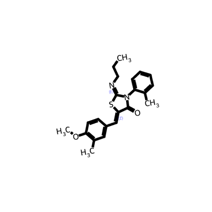 CCC/N=C1/S/C(=C\c2ccc(OC)c(C)c2)C(=O)N1c1ccccc1C